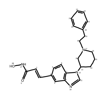 O=C(C=Cc1ccc2c(c1)ncn2C1CCCN(CCc2ccccc2)C1)NO